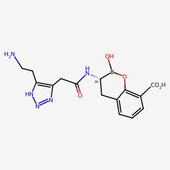 NCCc1[nH]nnc1CC(=O)N[C@H]1Cc2cccc(C(=O)O)c2OB1O